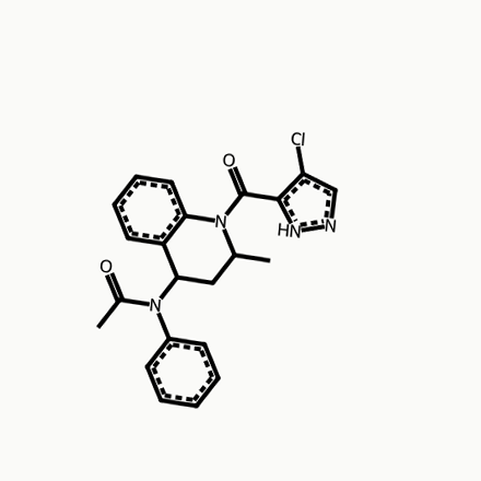 CC(=O)N(c1ccccc1)C1CC(C)N(C(=O)c2[nH]ncc2Cl)c2ccccc21